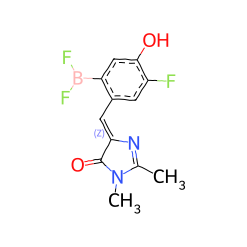 CC1=N/C(=C\c2cc(F)c(O)cc2B(F)F)C(=O)N1C